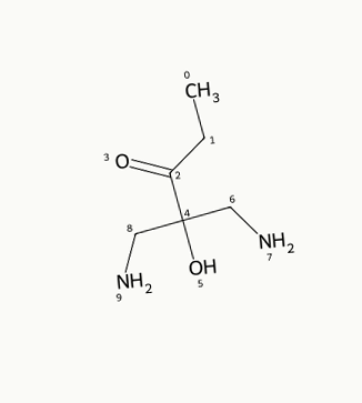 CCC(=O)C(O)(CN)CN